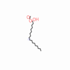 C1CO1.CCCCCCCC/C=C\CCCCCCCC(=O)O